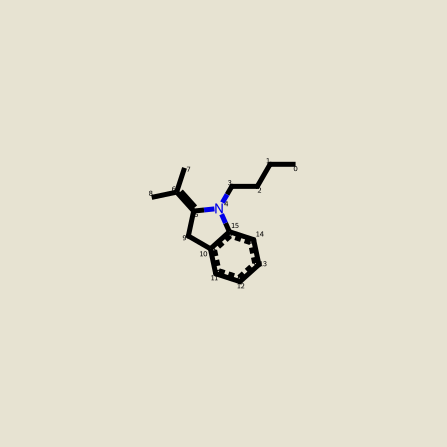 CCCCN1C(=C(C)C)Cc2ccccc21